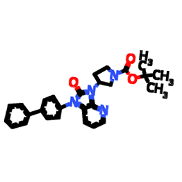 CC(C)(C)OC(=O)N1CC[C@H](n2c(=O)n(-c3ccc(-c4ccccc4)cc3)c3cccnc32)C1